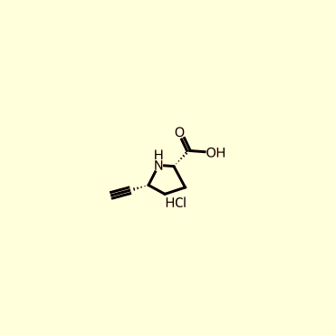 C#C[C@H]1CC[C@@H](C(=O)O)N1.Cl